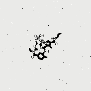 CCCNC(=O)c1cn2ncnc(Nc3cc(C(=O)N(CC)C(=O)OCOP(=O)(O)O)ccc3C)c2c1C